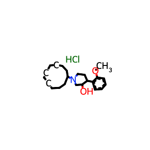 COc1ccccc1C1CCN(C2CCCCCCCCCC2)CC1O.Cl